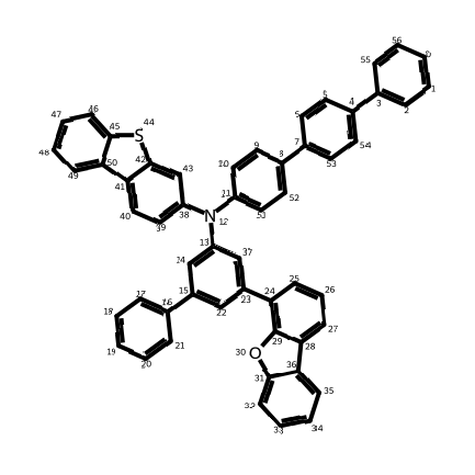 c1ccc(-c2ccc(-c3ccc(N(c4cc(-c5ccccc5)cc(-c5cccc6c5oc5ccccc56)c4)c4ccc5c(c4)sc4ccccc45)cc3)cc2)cc1